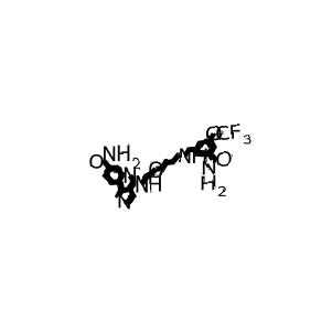 NC(=O)c1cc(CNCCCCOCCNc2nc3cc(C(N)=O)ccc3c3cnccc23)cc(OC(F)(F)F)c1